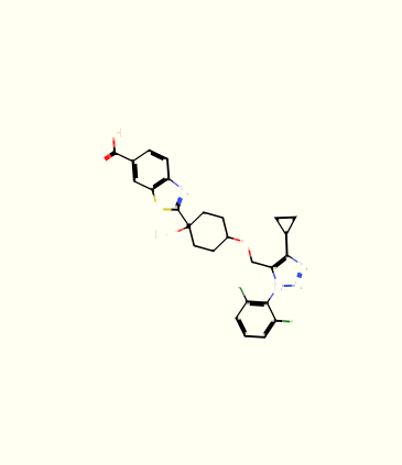 O=C(O)c1ccc2nc(C3(O)CCC(OCc4c(C5CC5)nnn4-c4c(Cl)cccc4Cl)CC3)sc2c1